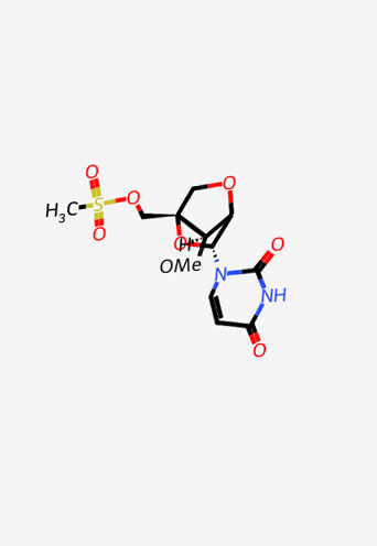 CO[C@@H]1C2OC[C@@]1(COS(C)(=O)=O)O[C@H]2n1ccc(=O)[nH]c1=O